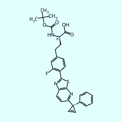 CC(C)(C)OC(=O)N[C@H](CCc1ccc(-c2nc3ccc(C4(c5ccccc5)C=C4)nc3s2)c(F)c1)C(=O)O